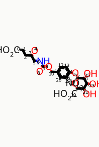 O=C(O)CCC(=O)CNC(=O)OCc1ccc(OC2OC(C(=O)O)C(O)C(O)C2O)c([N+](=O)[O-])c1